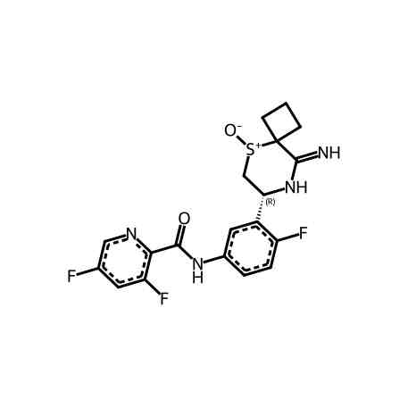 N=C1N[C@H](c2cc(NC(=O)c3ncc(F)cc3F)ccc2F)C[S+]([O-])C12CCC2